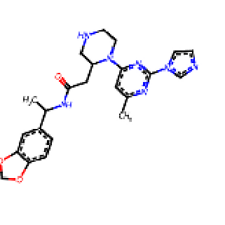 Cc1cc(N2CCNCC2CC(=O)NC(C)c2ccc3c(c2)OCO3)nc(-n2ccnc2)n1